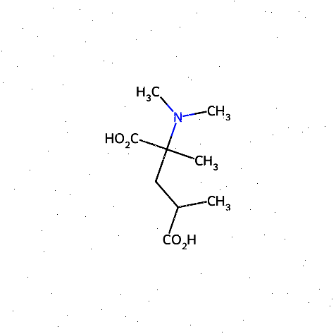 CC(CC(C)(C(=O)O)N(C)C)C(=O)O